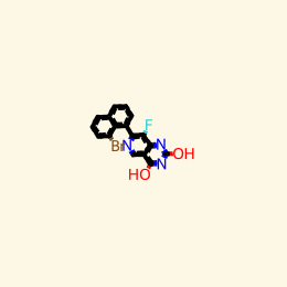 Oc1nc(O)c2cnc(-c3cccc4cccc(Br)c34)c(F)c2n1